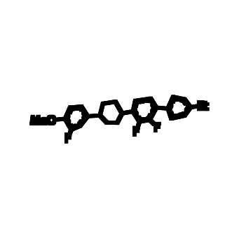 CCc1ccc(-c2ccc(C3CCC(c4ccc(OC)c(F)c4)CC3)c(F)c2F)cc1